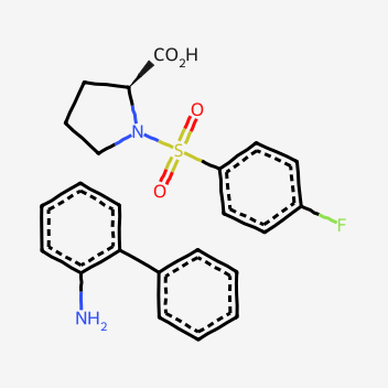 Nc1ccccc1-c1ccccc1.O=C(O)[C@@H]1CCCN1S(=O)(=O)c1ccc(F)cc1